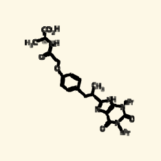 CCCn1c(=O)c2nc(C(C)Cc3ccc(OCC(=O)N[C@@H](C)C(=O)O)cc3)[nH]c2n(CCC)c1=O